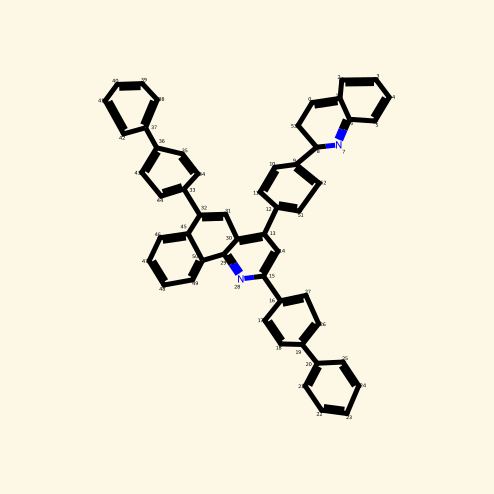 C1=c2ccccc2=NC(c2ccc(-c3cc(-c4ccc(-c5ccccc5)cc4)nc4c3cc(-c3ccc(-c5ccccc5)cc3)c3ccccc34)cc2)C1